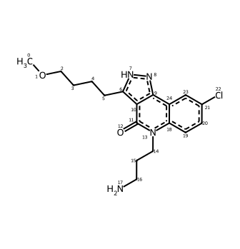 COCCCCc1[nH]nc2c1c(=O)n(CCCN)c1ccc(Cl)cc21